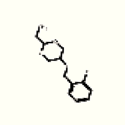 CCC1OCC(OCc2ccccc2F)CO1